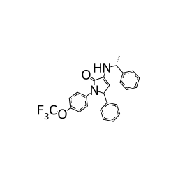 C[C@@H](NC1=CC(c2ccccc2)N(c2ccc(OC(F)(F)F)cc2)C1=O)c1ccccc1